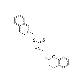 S=C(NCCC1CCc2ccccc2O1)SCc1ccc2ccccc2c1